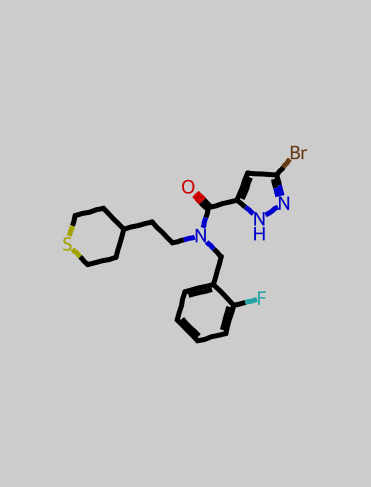 O=C(c1cc(Br)n[nH]1)N(CCC1CCSCC1)Cc1ccccc1F